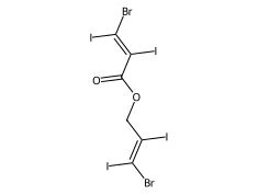 O=C(OCC(I)=C(Br)I)C(I)=C(Br)I